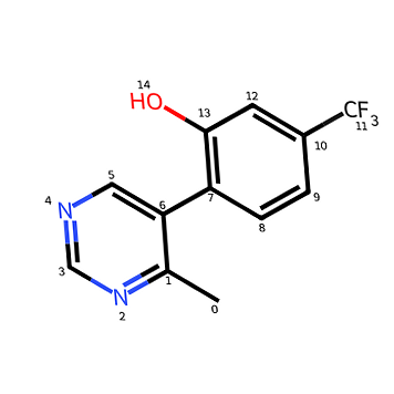 Cc1ncncc1-c1ccc(C(F)(F)F)cc1O